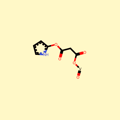 [O]=[V][O]C(=O)CC(=O)Oc1ccc[nH]1